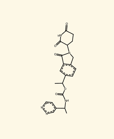 CC(NC(=O)OC(C)c1ccc2c(c1)C(=O)N(C1CCC(=O)NC1=O)C2)c1ccnnc1